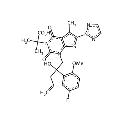 C=CCC(O)(Cn1c(=O)n(C(C)(C)C(=O)O)c(=O)c2c(C)c(-n3nccn3)sc21)c1cc(F)ccc1OC